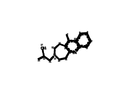 Cc1c2c(nc3ccccc13)CCN(CC(C)O)CC2